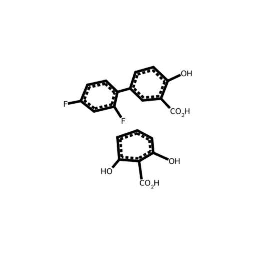 O=C(O)c1c(O)cccc1O.O=C(O)c1cc(-c2ccc(F)cc2F)ccc1O